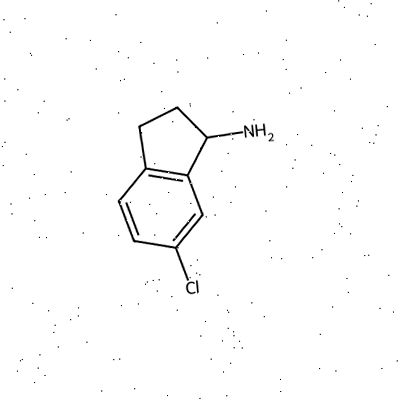 NC1CCc2ccc(Cl)cc21